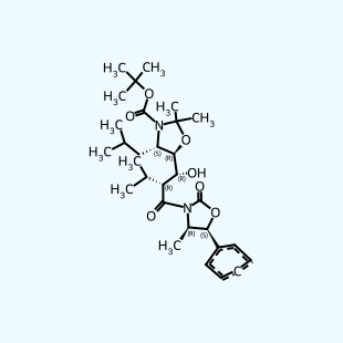 CC(C)C[C@H]1[C@H]([C@H](O)[C@H](C(=O)N2C(=O)O[C@@H](c3ccccc3)[C@H]2C)C(C)C)OC(C)(C)N1C(=O)OC(C)(C)C